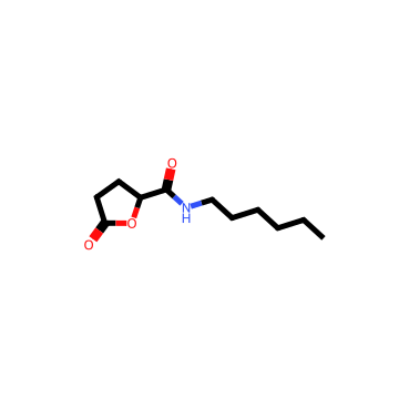 CCCCCCNC(=O)C1CCC(=O)O1